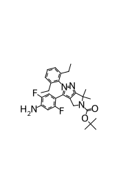 CCc1cccc(CC)c1-n1nc2c(c1-c1cc(F)c(N)cc1F)CN(C(=O)OC(C)(C)C)C2(C)C